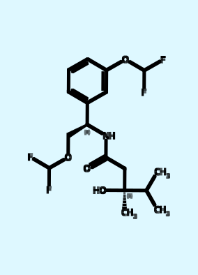 CC(C)[C@@](C)(O)CC(=O)N[C@@H](COC(F)F)c1cccc(OC(F)F)c1